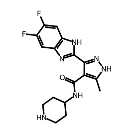 Cc1[nH]nc(-c2nc3cc(F)c(F)cc3[nH]2)c1C(=O)NC1CCNCC1